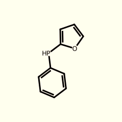 c1ccc(Pc2ccco2)cc1